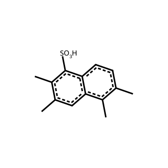 Cc1cc2c(C)c(C)ccc2c(S(=O)(=O)O)c1C